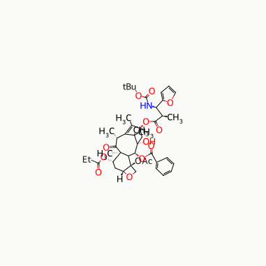 CCC(=O)O[C@H]1C[C@H]2OC[C@@]2(OC(C)=O)C2[C@H](OC(=O)c3ccccc3)[C@]3(O)C[C@H](OC(=O)[C@H](C)[C@@H](NC(=O)OC(C)(C)C)c4ccco4)C(C)=C([C@@H](C)C(=O)[C@@]21C)C3(C)C